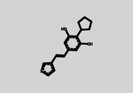 Oc1cc(C=Cc2ccsc2)cc(O)c1C1CCCC1